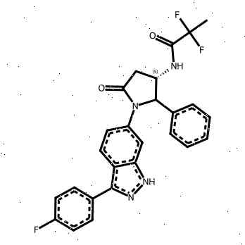 CC(F)(F)C(=O)N[C@H]1CC(=O)N(c2ccc3c(-c4ccc(F)cc4)n[nH]c3c2)C1c1ccccc1